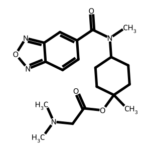 CN(C)CC(=O)OC1(C)CCC(N(C)C(=O)c2ccc3nonc3c2)CC1